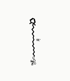 CC1C=CC=CC1(C)CCCCCCCCCCCCCCCCOOP(=O)([O-])[O-].[K+].[K+]